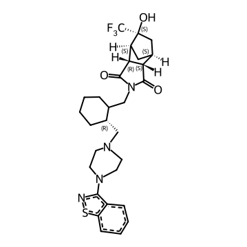 O=C1[C@H]2[C@H]3C[C@@H]([C@H]2C(=O)N1CC1CCCC[C@H]1CN1CCN(c2nsc4ccccc24)CC1)[C@](O)(C(F)(F)F)C3